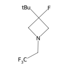 CC(C)(C)C1(F)CN(CC(F)(F)F)C1